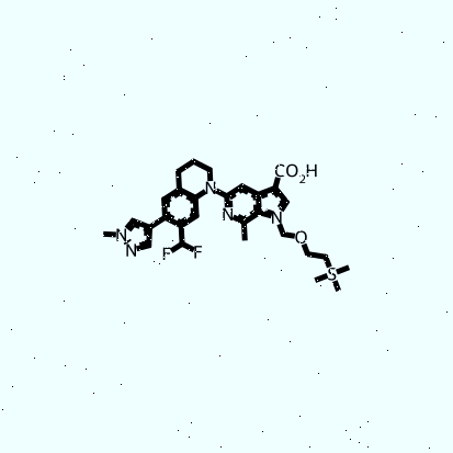 Cc1nc(N2CCCc3cc(-c4cnn(C)c4)c(C(F)F)cc32)cc2c(C(=O)O)cn(COCCS(C)(C)C)c12